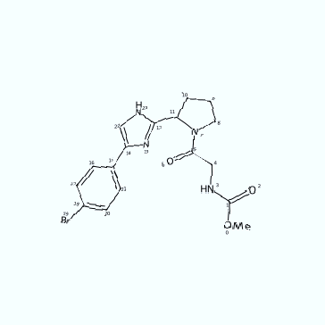 COC(=O)NCC(=O)N1CCCC1c1nc(-c2ccc(Br)cc2)c[nH]1